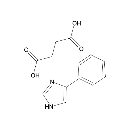 O=C(O)CCC(=O)O.c1ccc(-c2c[nH]cn2)cc1